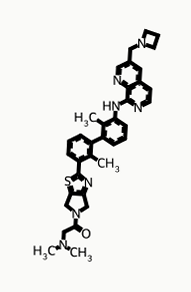 Cc1c(Nc2nccc3cc(CN4CCC4)cnc23)cccc1-c1cccc(-c2nc3c(s2)CN(C(=O)CN(C)C)C3)c1C